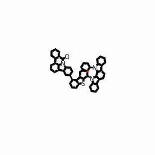 O=c1c2ccccc2c2cccc3c4cc(-c5cccc6sc7c(-n8c9ccccc9c9ccc%10c%11ccccc%11n(-c%11ccccc%11)c%10c98)cccc7c56)ccc4n1c23